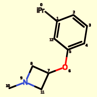 CC(C)c1cccc(OC2CN(C)C2)c1